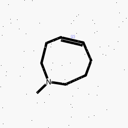 CN1CC/C=C\CCC1